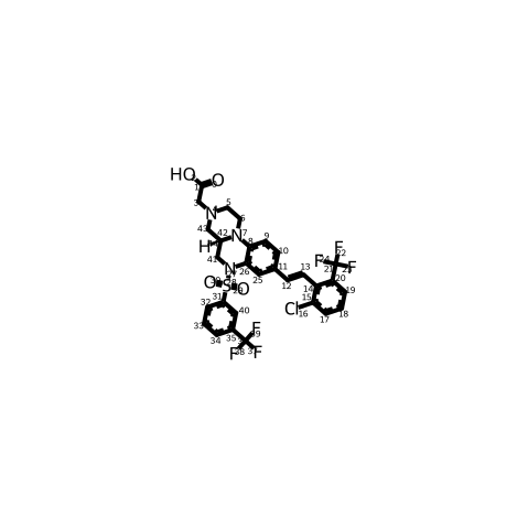 O=C(O)CN1CCN2c3ccc(/C=C/c4c(Cl)cccc4C(F)(F)F)cc3N(S(=O)(=O)c3cccc(C(F)(F)F)c3)C[C@@H]2C1